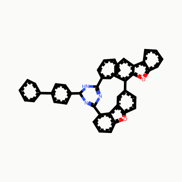 c1ccc(C2=NC(c3cccc4oc5ccc(-c6cccc7c6oc6ccccc67)cc5c34)=NC(c3ccc(-c4ccccc4)cc3)N2)cc1